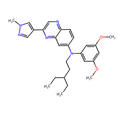 CCC(CC)CCN(c1cc(OC)cc(OC)c1)c1ccc2ncc(-c3cnn(C)c3)nc2c1